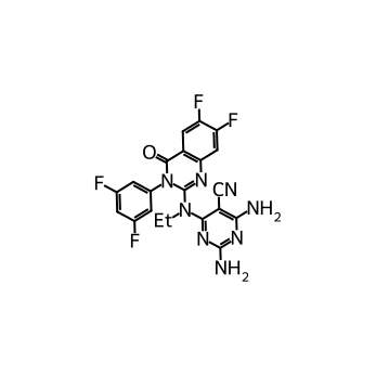 CCN(c1nc(N)nc(N)c1C#N)c1nc2cc(F)c(F)cc2c(=O)n1-c1cc(F)cc(F)c1